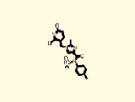 Cc1ccc(N(C(=O)c2cn(Cc3ccc(Cl)nc3Cl)c(C)n2)[SH](=O)=O)cc1